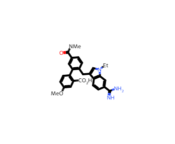 CCn1cc(Cc2ccc(C(=O)NC)cc2-c2ccc(OC)cc2C(=O)O)c2ccc(C(=N)N)cc21